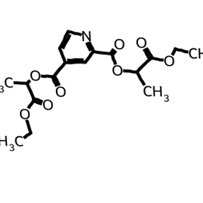 CCOC(=O)C(C)OC(=O)c1ccnc(C(=O)OC(C)C(=O)OCC)c1